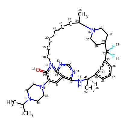 CC(C)N1CCN(c2cc3c4ncnc3n(c2=O)CCCCCCC(C)N2CCC(CC2)C(F)(F)c2cccc(c2)[C@@H](C)N4)CC1